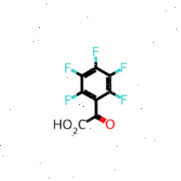 O=C(O)C(=O)c1c(F)c(F)c(F)c(F)c1F